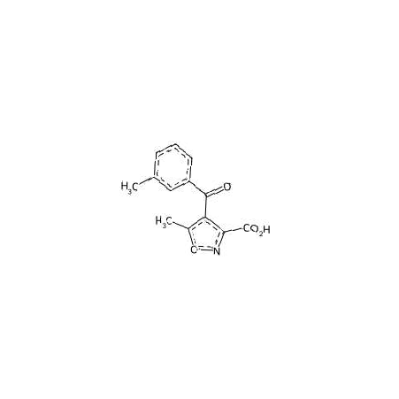 Cc1cccc(C(=O)c2c(C(=O)O)noc2C)c1